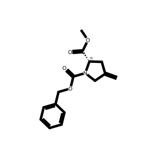 C=C1C[C@@H](C(=O)OC)N(C(=O)OCc2ccccc2)C1